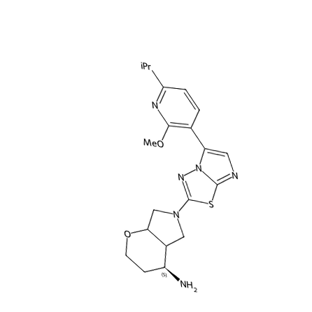 COc1nc(C(C)C)ccc1-c1cnc2sc(N3CC4OCC[C@H](N)C4C3)nn12